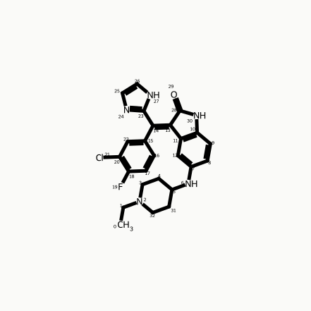 CCN1CCC(Nc2ccc3c(c2)/C(=C(\c2ccc(F)c(Cl)c2)c2ncc[nH]2)C(=O)N3)CC1